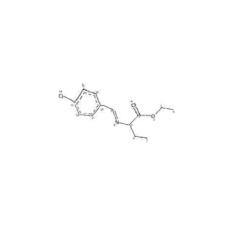 CCOC(=O)C(CC)N=Cc1ccc(Cl)cc1